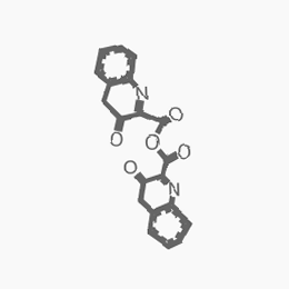 O=C1Cc2ccccc2N=C1C(=O)OC(=O)C1=Nc2ccccc2CC1=O